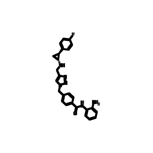 Nc1ccccc1NC(=O)c1ccc(Cn2cc(CN[C@@H]3C[C@H]3c3ccc(F)cc3)nn2)cc1